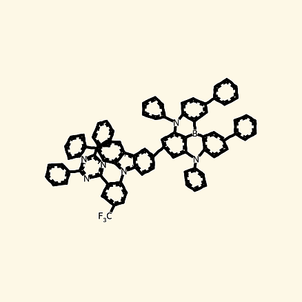 FC(F)(F)c1ccc(-n2c3ccc(-c4cc5c6c(c4)N(c4ccccc4)c4ccc(-c7ccccc7)cc4B6c4cc(-c6ccccc6)ccc4N5c4ccccc4)cc3c3ccc(-c4ccccc4)cc32)c(-c2nc(-c3ccccc3)nc(-c3ccccc3)n2)c1